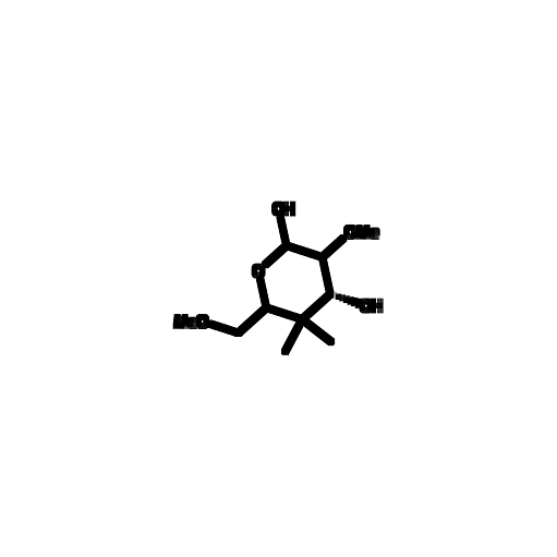 COCC1OC(O)C(OC)[C@H](O)C1(C)C